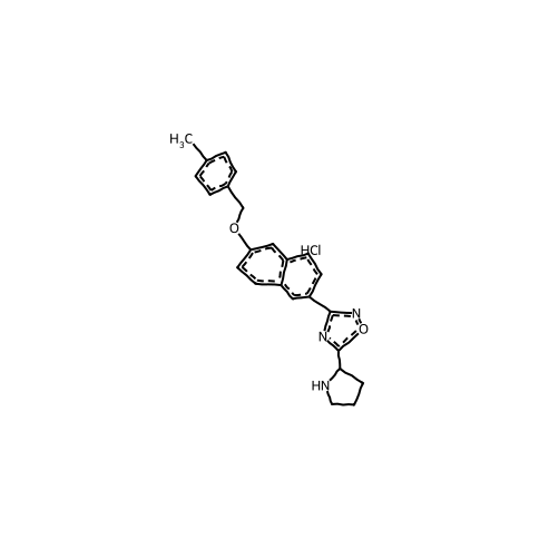 Cc1ccc(COc2ccc3cc(-c4noc(C5CCCN5)n4)ccc3c2)cc1.Cl